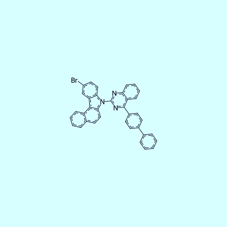 Brc1ccc2c(c1)c1c3ccccc3ccc1n2-c1nc(-c2ccc(-c3ccccc3)cc2)c2ccccc2n1